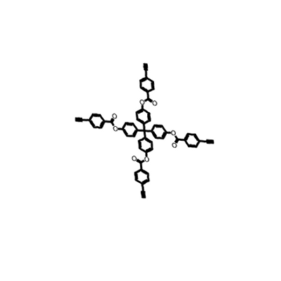 C#Cc1ccc(C(=O)Oc2ccc(C(c3ccc(OC(=O)c4ccc(C#C)cc4)cc3)(c3ccc(OC(=O)c4ccc(C#C)cc4)cc3)c3ccc(OC(=O)c4ccc(C#C)cc4)cc3)cc2)cc1